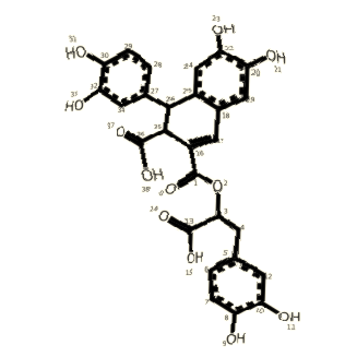 O=C(OC(Cc1ccc(O)c(O)c1)C(=O)O)C1=Cc2cc(O)c(O)cc2C(c2ccc(O)c(O)c2)C1C(=O)O